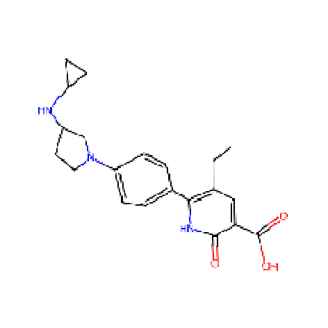 CCc1cc(C(=O)O)c(=O)[nH]c1-c1ccc(N2CCC(NC3CC3)C2)cc1